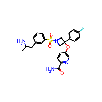 CC(N)Cc1cccc(S(=O)(=O)N2CC(Oc3ccc(C(N)=O)nc3)(c3ccc(F)cc3)C2)c1